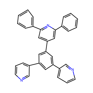 c1ccc(-c2cc(-c3cc(-c4cccnc4)cc(-c4cccnc4)c3)cc(-c3ccccc3)n2)cc1